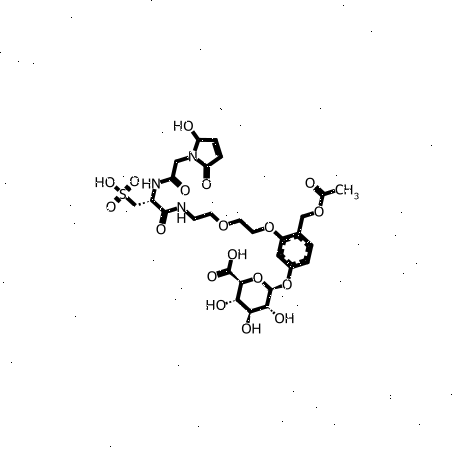 CC(=O)OCc1ccc(O[C@@H]2O[C@H](C(=O)O)[C@@H](O)[C@H](O)[C@H]2O)cc1OCCOCCNC(=O)[C@H](CS(=O)(=O)O)NC(=O)CN1C(=O)C=CC1O